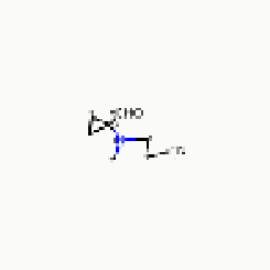 CN(CCC#N)C1(C=O)CC1